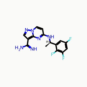 C[C@@H](Nc1ccn2ncc(C(=N)N)c2n1)c1cc(F)cc(F)c1F